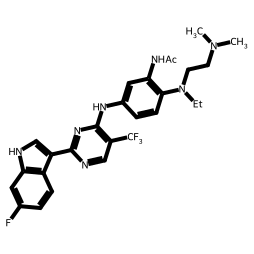 CCN(CCN(C)C)c1ccc(Nc2nc(-c3c[nH]c4cc(F)ccc34)ncc2C(F)(F)F)cc1NC(C)=O